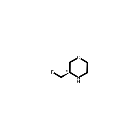 FC[C@H]1COCCN1